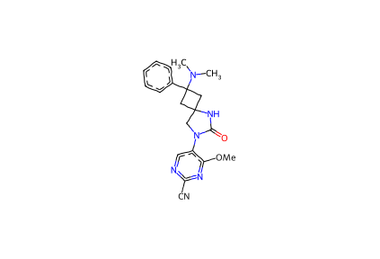 COc1nc(C#N)ncc1N1CC2(CC(c3ccccc3)(N(C)C)C2)NC1=O